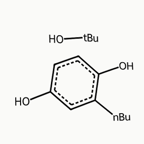 CC(C)(C)O.CCCCc1cc(O)ccc1O